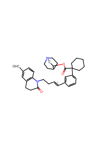 O=Cc1ccc2c(c1)CCC(=O)N2CC/C=C/c1cccc(C2(C(=O)OC3CN4CCC3CC4)CCCCC2)c1